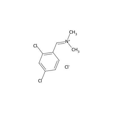 C[N+](C)=Cc1ccc(Cl)cc1Cl.[Cl-]